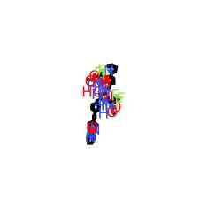 COC(=O)N[C@H](C(=O)N[C@@H](Cc1ccc(C#Cc2ccc(N3CC4CCC(C3)N4C3COC3)nc2)cc1)[C@@H](O)CN(Cc1ccc(-c2ccccn2)cc1F)NC(=O)[C@@H](NC(=O)OC)C(C)(C)C(F)(F)F)C(C)(C)C(F)(F)F